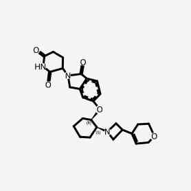 O=C1CCC(N2Cc3cc(O[C@@H]4CCCC[C@@H]4N4CC(C5=CCOCC5)C4)ccc3C2=O)C(=O)N1